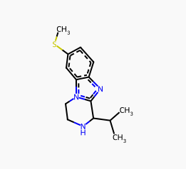 CSc1ccc2nc3n(c2c1)CCNC3C(C)C